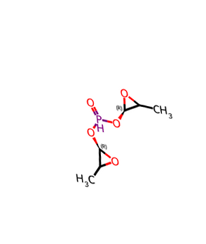 CC1O[C@@H]1O[PH](=O)O[C@H]1OC1C